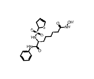 O=C(CCCCC[C@H](NS(=O)(=O)C1CC=CS1)C(=O)Nc1ccccc1)NO